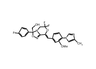 COc1cc(/C=C2\OC(F)(F)CN3C2=NO[C@]3(CO)c2ccc(F)cc2)ccc1-n1cnc(C)c1